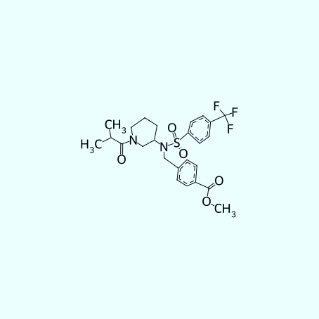 COC(=O)c1ccc(CN(C2CCCN(C(=O)C(C)C)C2)S(=O)(=O)c2ccc(C(F)(F)F)cc2)cc1